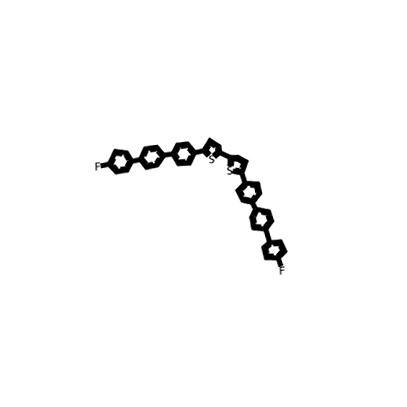 Fc1ccc(-c2ccc(-c3ccc(-c4ccc(-c5ccc(-c6ccc(-c7ccc(-c8ccc(F)cc8)cc7)cc6)s5)s4)cc3)cc2)cc1